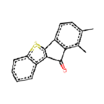 Cc1ccc2c(c1C)C(=O)c1c-2sc2ccccc12